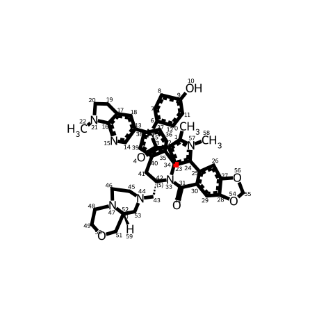 Cc1c(C(=O)N(c2ccc(O)cc2)c2cnc3c(c2)CCN3C)cc(-c2cc3c(cc2C(=O)N2Cc4ccccc4C[C@H]2CN2CCN4CCOC[C@H]4C2)OCO3)n1C